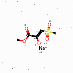 COC(=O)/C([O-])=C/S(C)(=O)=O.[Na+]